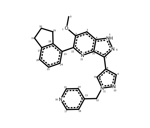 COc1cc2[nH]nc(-c3cnn(Cc4ccncc4)c3)c2nc1-c1cccc2c1CCC2